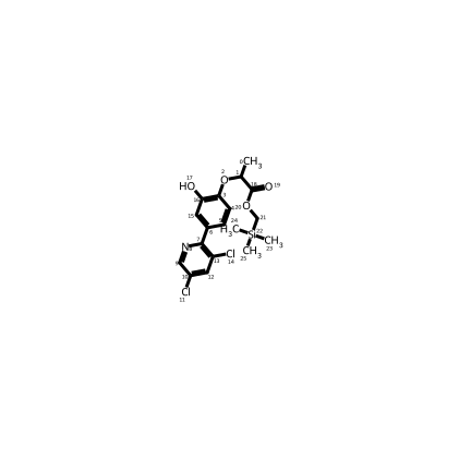 CC(Oc1ccc(-c2ncc(Cl)cc2Cl)cc1O)C(=O)OC[Si](C)(C)C